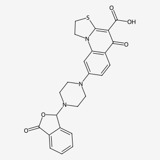 O=C1OC(N2CCN(c3ccc4c(=O)c(C(=O)O)c5n(c4c3)CCS5)CC2)c2ccccc21